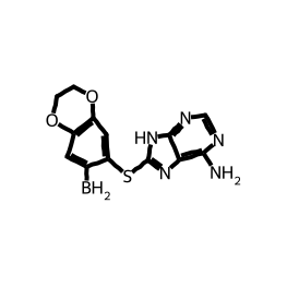 Bc1cc2c(cc1Sc1nc3c(N)ncnc3[nH]1)OCCO2